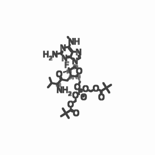 CNc1nc(N)nc2c1ncn2[C@@H]1O[C@H](COP(=O)(OCOC(=O)C(C)(C)C)OCOC(=O)C(C)(C)C)[C@@H](CC(=O)[C@@H](N)C(C)C)[C@@]1(C)F